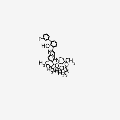 C=CCOC1(C)CCN(c2c(C(OC(C)(C)C)C(=O)O)c(C)cc3nc(-c4cccc(-c5cccc(F)c5)c4O)cn23)CC1